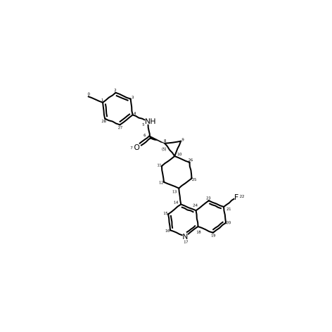 Cc1ccc(NC(=O)[C@H]2CC23CCC(c2ccnc4ccc(F)cc24)CC3)cc1